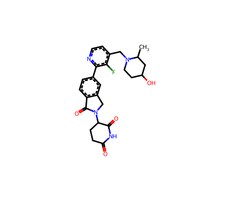 CC1CC(O)CCN1Cc1ccnc(-c2ccc3c(c2)CN(C2CCC(=O)NC2=O)C3=O)c1F